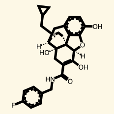 O=C(NCc1ccc(F)cc1)C1=C(O)[C@@H]2Oc3c(O)ccc4c3[C@@]23CCN(CC2CC2)[C@H](C4)[C@]3(O)C1